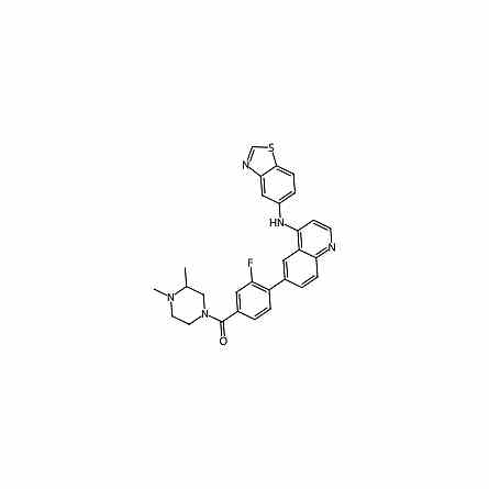 CC1CN(C(=O)c2ccc(-c3ccc4nccc(Nc5ccc6scnc6c5)c4c3)c(F)c2)CCN1C